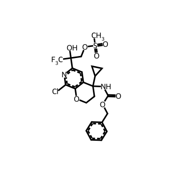 CS(=O)(=O)OCC(O)(c1cc2c(c(Cl)n1)OCCC2(NC(=O)OCc1ccccc1)C1CC1)C(F)(F)F